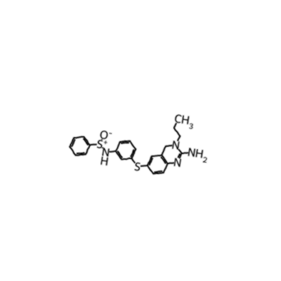 CCCN1Cc2cc(Sc3cccc(N[S+]([O-])c4ccccc4)c3)ccc2N=C1N